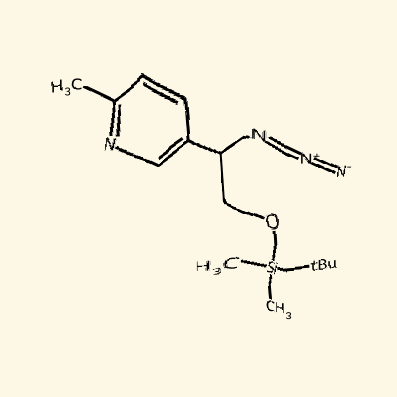 Cc1ccc(C(CO[Si](C)(C)C(C)(C)C)N=[N+]=[N-])cn1